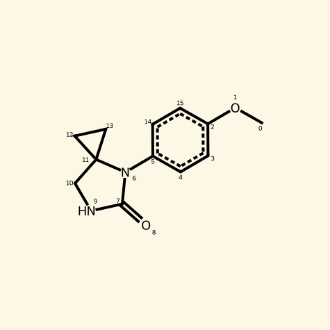 COc1ccc(N2C(=O)NCC23CC3)cc1